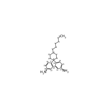 CCCCCCC1CCC(c2ccc(N)cc2)(c2ccc(N)cc2)CC1